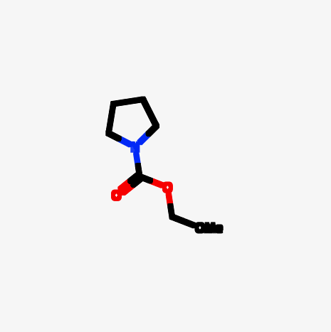 COCOC(=O)N1CCCC1